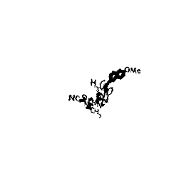 COc1ccc2cc([C@H](C)C(=O)n3ccc4c(N5CC[C@]6(C5)[C@@H](C)CN6C(=O)CC#N)ncnc43)ccc2c1